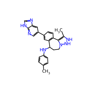 CC1=C2c3ccc(-c4cnc5[nH]cnc5c4)cc3C(Nc3ccc(C)cc3)CCN2NN1